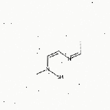 C/C=N\C=C/N(C)S